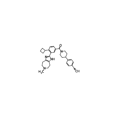 C#Cc1ccc(C2CCN(C(=O)c3ccc(C4CCC4)c(-c4nc5c([nH]4)CCN(C)CC5)c3)CC2)cc1